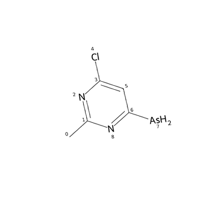 Cc1nc(Cl)cc([AsH2])n1